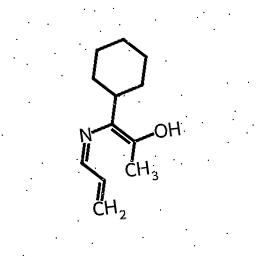 C=C/C=N\C(=C(/C)O)C1CCCCC1